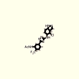 CC(=O)Nc1cc(-c2nnc(Nc3ccc4[nH]ncc4c3Cl)s2)ccc1C(F)(F)F